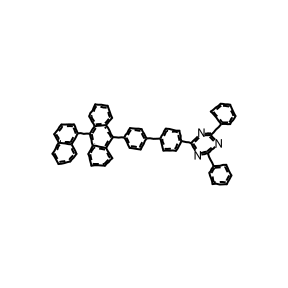 c1ccc(-c2nc(-c3ccccc3)nc(-c3ccc(-c4ccc(-c5c6ccccc6c(-c6cccc7ccccc67)c6ccccc56)cc4)cc3)n2)cc1